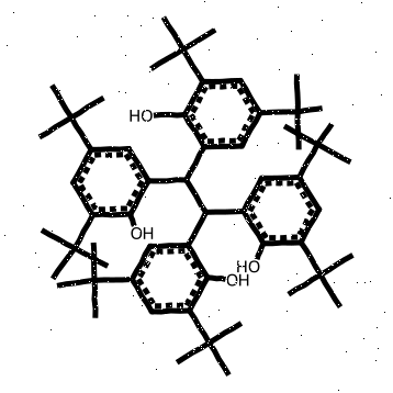 CC(C)(C)c1cc(C(c2cc(C(C)(C)C)cc(C(C)(C)C)c2O)C(c2cc(C(C)(C)C)cc(C(C)(C)C)c2O)c2cc(C(C)(C)C)cc(C(C)(C)C)c2O)c(O)c(C(C)(C)C)c1